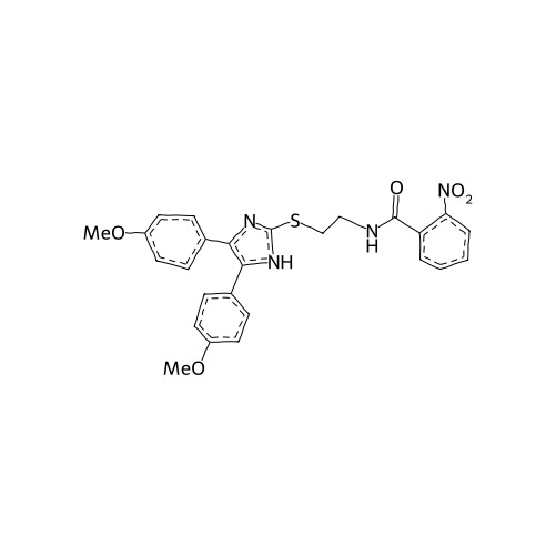 COc1ccc(-c2nc(SCCNC(=O)c3ccccc3[N+](=O)[O-])[nH]c2-c2ccc(OC)cc2)cc1